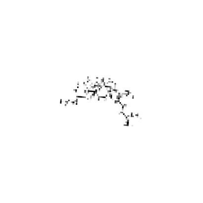 COC1CCC2CC[C@H]3[C@@H]4CC[C@H]([C@H](C)CCCC(C)C)[C@@]4(C)CC[C@@H]3[C@@]2(C)C1